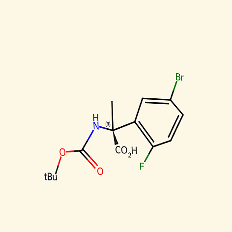 CC(C)(C)OC(=O)N[C@@](C)(C(=O)O)c1cc(Br)ccc1F